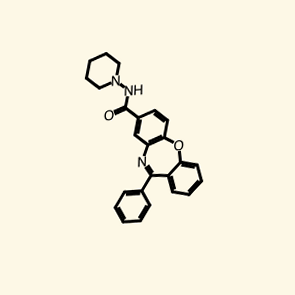 O=C(NN1CCCCC1)c1ccc2c(c1)N=C(c1ccccc1)c1ccccc1O2